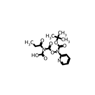 CCC(=O)N(C(=O)O)C(=O)ON(C(=O)OC(C)(C)C)c1ccccn1